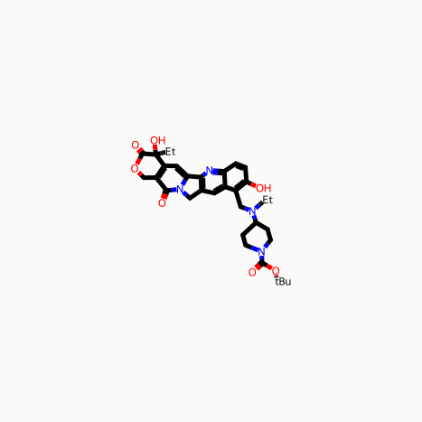 CCN(Cc1c(O)ccc2nc3c(cc12)Cn1c-3cc2c(c1=O)COC(=O)C2(O)CC)C1CCN(C(=O)OC(C)(C)C)CC1